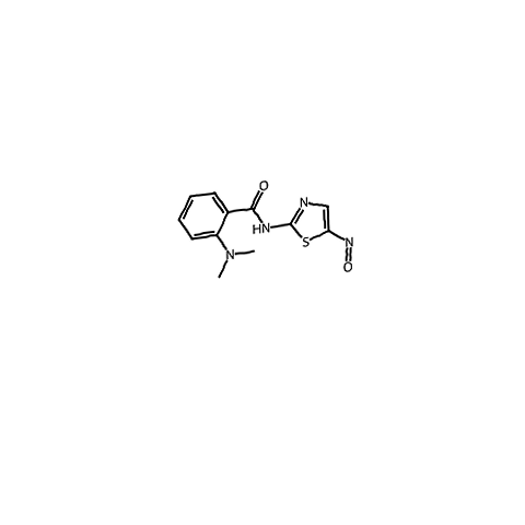 CN(C)c1ccccc1C(=O)Nc1ncc(N=O)s1